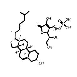 CC(C)CCC[C@@H](C)[C@H]1CC[C@H]2[C@@H]3CC=C4C[C@@H](O)CC[C@]4(C)[C@H]3CC[C@]12C.O=C1O[C@H]([C@@H](O)CO)C(O)=C1O.O=P(O)(O)O